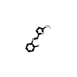 Cc1ccc(/C=N/c2ccccc2F)o1